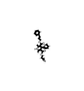 CC1=C(C(=O)OC/C=C/c2ccccc2)C(c2ccccn2)C(C(=O)OCCC#N)=C(C)N1